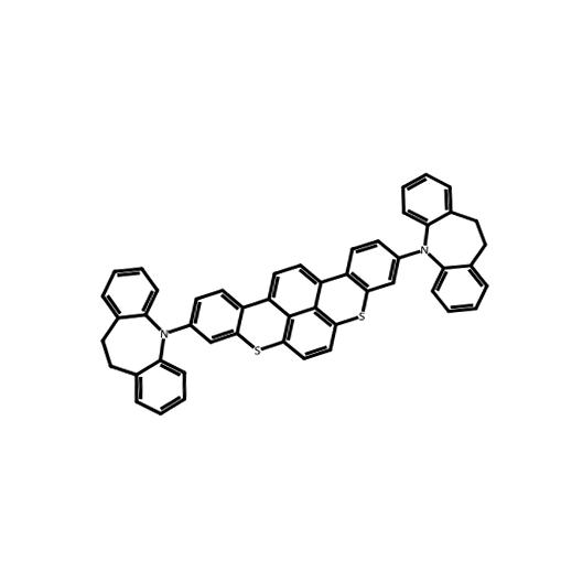 c1ccc2c(c1)CCc1ccccc1N2c1ccc2c(c1)Sc1ccc3c4c(ccc-2c14)-c1ccc(N2c4ccccc4CCc4ccccc42)cc1S3